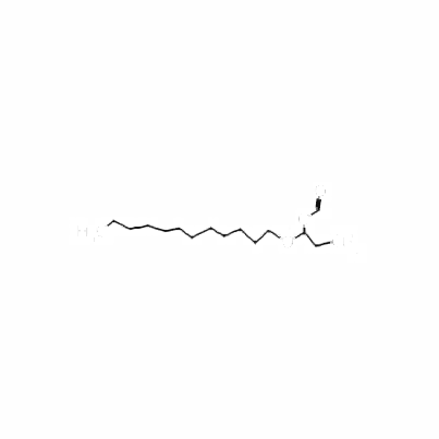 CCCCCCCCCCCCOC(CC)O[C]=O